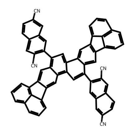 N#Cc1ccc2cc(C#N)c(-c3cc4c5cc6c(cc5c(-c5cc7cc(C#N)ccc7cc5C#N)cc4c4cc5c(cc34)-c3cccc4cccc-5c34)-c3cccc4cccc-6c34)cc2c1